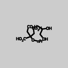 CC(O)CO.CCCOC(CC(=O)O)(CC(=O)O)C(=O)O